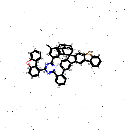 Cc1cccc(-c2nc(-c3ccccc3-c3ccc4c(c3)-c3cc5c(cc3C43C4CC6CC(C4)CC3C6)sc3ccccc35)nc(-c3cccc4oc5ccccc5c34)n2)c1